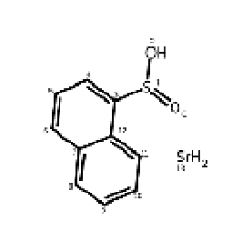 O=S(O)c1cccc2ccccc12.[SrH2]